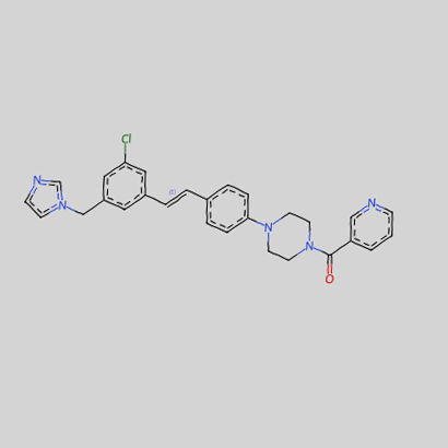 O=C(c1cccnc1)N1CCN(c2ccc(/C=C/c3cc(Cl)cc(Cn4ccnc4)c3)cc2)CC1